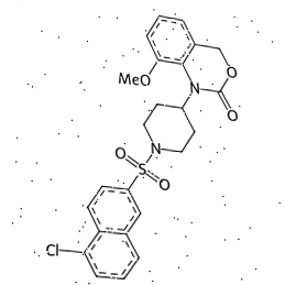 COc1cccc2c1N(C1CCN(S(=O)(=O)c3ccc4c(Cl)cccc4c3)CC1)C(=O)OC2